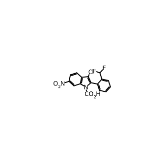 O=C(O)n1c(-c2ccccc2C(F)F)c(Cl)c2ccc([N+](=O)[O-])cc21